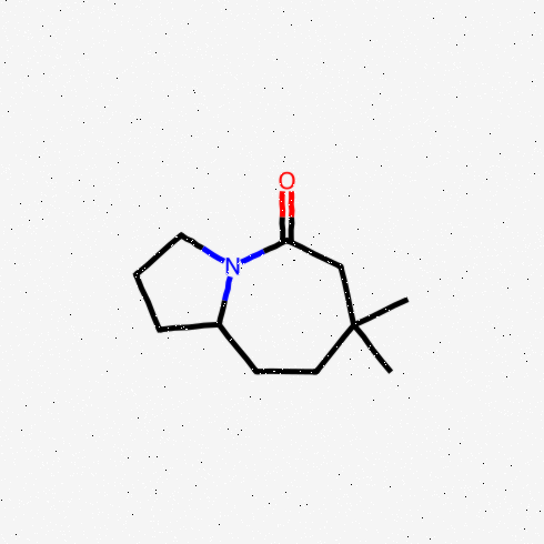 CC1(C)CCC2CCCN2C(=O)C1